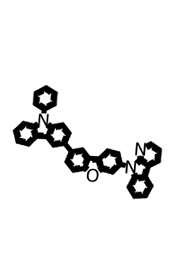 c1ccc(-n2c3ccccc3c3cc(-c4ccc5oc6cc(-n7c8ccccc8c8cccnc87)ccc6c5c4)ccc32)cc1